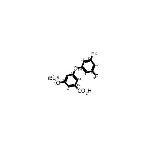 CC[C@H](C)Oc1cc(Oc2cc(F)cc(F)c2)cc(C(=O)O)c1